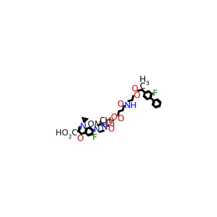 COc1c(N2CCN(C(=O)OCOC(=O)CCC(=O)NCCCOC(=O)C(C)c3ccc(-c4ccccc4)c(F)c3)C(C)C2)c(F)cc2c(=O)c(C(=O)O)cn(C3CC3)c12